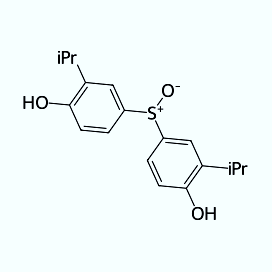 CC(C)c1cc([S+]([O-])c2ccc(O)c(C(C)C)c2)ccc1O